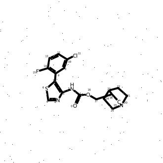 O=C(Nc1ncsc1-c1cc(Cl)ccc1F)OCC1CN2CCC1CC2